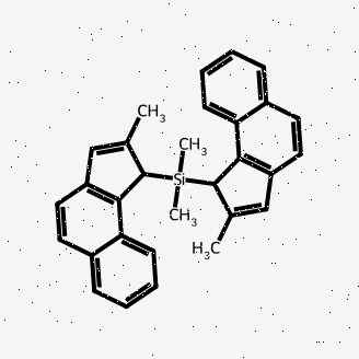 CC1=Cc2ccc3ccccc3c2C1[Si](C)(C)C1C(C)=Cc2ccc3ccccc3c21